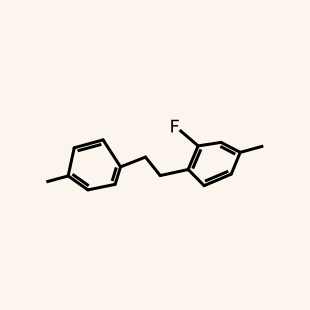 Cc1ccc(CCc2ccc(C)cc2F)cc1